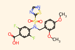 COc1ccc(CN(c2cc(F)c(C(=O)O)cc2F)S(=O)(=O)c2ncns2)c(OC)c1